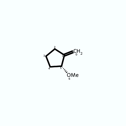 C=C1CCC[C@H]1OC